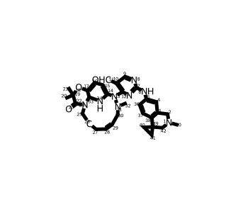 CN1Cc2cc(Nc3ncc(C=O)c(N4C5=CC=C6OC(C)(C)C(=O)N(CCC/C=C\CN4C)C6N5)n3)ccc2C2(CC2)C1